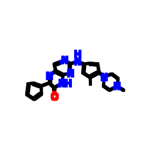 Cc1cc(Nc2ncc3nc(-c4ccccc4)c(=O)[nH]c3n2)ccc1N1CCN(C)CC1